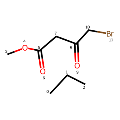 CCC.COC(=O)CC(=O)CBr